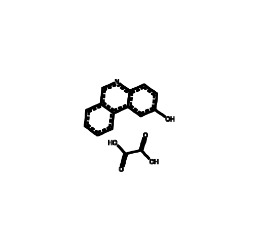 O=C(O)C(=O)O.Oc1ccc2ncc3ccccc3c2c1